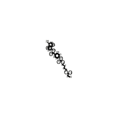 C=CC(=O)OCCCCOC(=O)Oc1ccc(C(=O)O[C@@H]2COC3C2OC[C@@H]3C)cc1